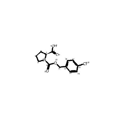 O=C(O)[C@@H]1CCCN1C(=O)OCc1ccc(Cl)cc1